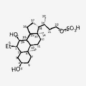 CC[C@@H]1C2C[C@H](O)CC[C@]2(C)C2CC[C@@]3(C)C(CC[C@@H]3[C@H](C)CCOS(=O)(=O)O)C2[C@@H]1O